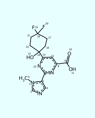 Cn1cncc1-c1nc(C(=O)O)cc(C2(O)CCC(F)(F)CC2)n1